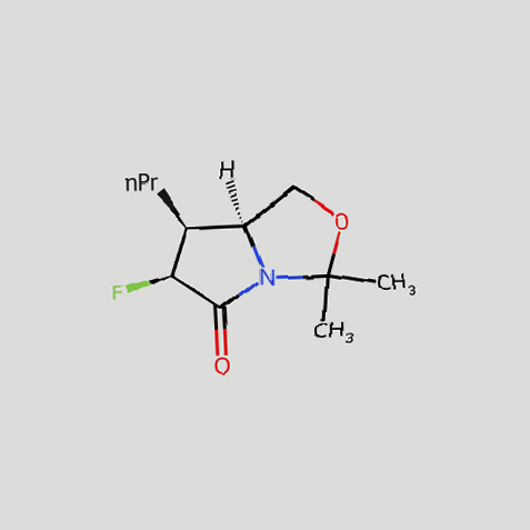 CCC[C@@H]1[C@H](F)C(=O)N2[C@@H]1COC2(C)C